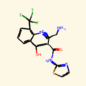 NCc1nc2c(C(F)(F)F)cccc2c(O)c1C(=O)Nc1nccs1